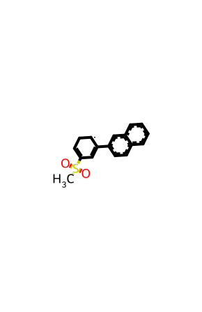 CS(=O)(=O)C1=CC[CH]C(c2ccc3ccccc3c2)=C1